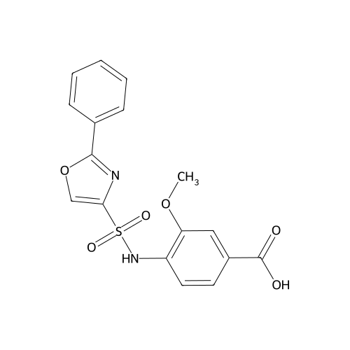 COc1cc(C(=O)O)ccc1NS(=O)(=O)c1coc(-c2ccccc2)n1